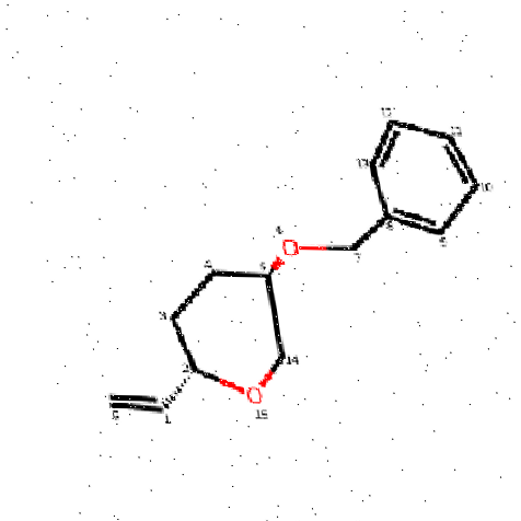 C=C[C@@H]1CC[C@@H](OCc2ccccc2)CO1